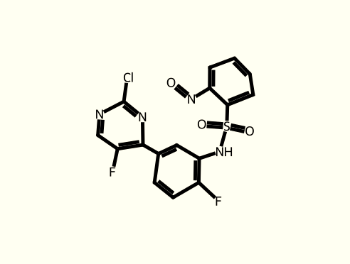 O=Nc1ccccc1S(=O)(=O)Nc1cc(-c2nc(Cl)ncc2F)ccc1F